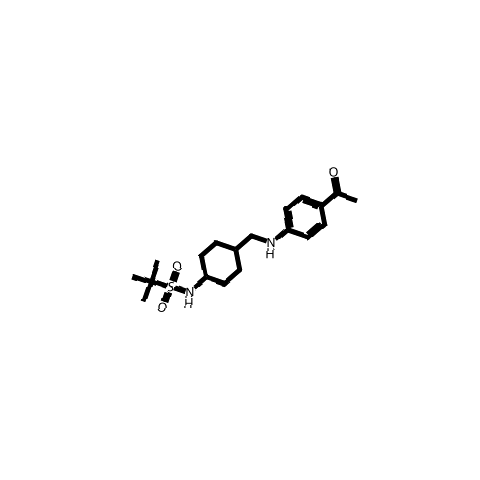 CC(=O)c1ccc(NCC2CCC(NS(=O)(=O)C(C)(C)C)CC2)cc1